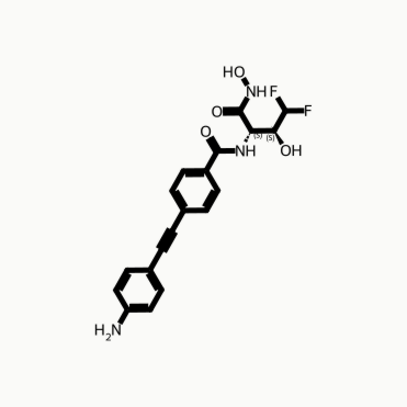 Nc1ccc(C#Cc2ccc(C(=O)N[C@H](C(=O)NO)[C@H](O)C(F)F)cc2)cc1